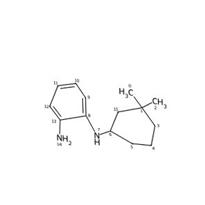 CC1(C)CCCC(Nc2ccccc2N)C1